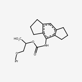 CC(C)OCC(OC(=O)Nc1c2c(cc3c1CCC3)CCC2)C(=O)O